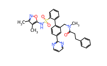 Cc1noc(NS(=O)(=O)c2ccccc2-c2ccc(-c3ncccn3)cc2CN(C)C(=O)CCc2ccccc2)c1C